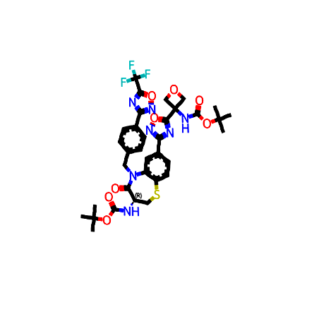 CC(C)(C)OC(=O)N[C@H]1CSc2ccc(-c3noc(C4(NC(=O)OC(C)(C)C)COC4)n3)cc2N(Cc2ccc(-c3noc(C(F)(F)F)n3)cc2)C1=O